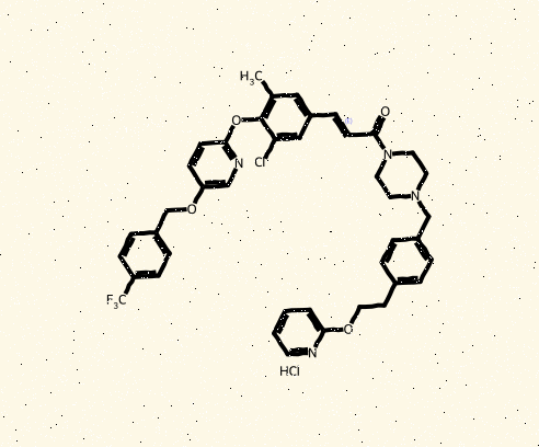 Cc1cc(/C=C/C(=O)N2CCN(Cc3ccc(CCOc4ccccn4)cc3)CC2)cc(Cl)c1Oc1ccc(OCc2ccc(C(F)(F)F)cc2)cn1.Cl